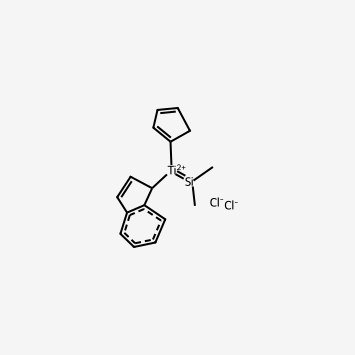 C[Si](C)=[Ti+2]([C]1=CC=CC1)[CH]1C=Cc2ccccc21.[Cl-].[Cl-]